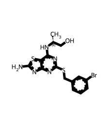 C[C@H](CO)Nc1nc(SCc2cccc(Br)c2)nc2nc(N)sc12